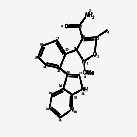 CON1OC(C)=C(C(N)=O)C1c1ccccc1-c1c[nH]c2ncccc12